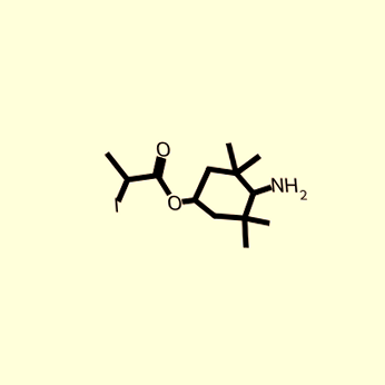 CC(I)C(=O)OC1CC(C)(C)C(N)C(C)(C)C1